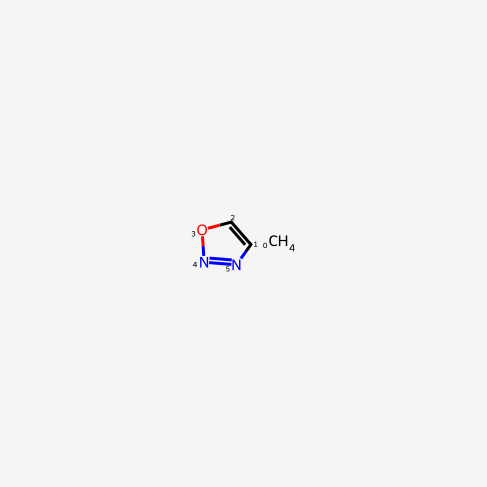 C.c1conn1